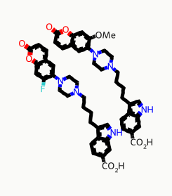 COc1cc2oc(=O)ccc2cc1N1CCN(CCCCc2c[nH]c3cc(C(=O)O)ccc23)CC1.O=C(O)c1ccc2c(CCCCN3CCN(c4cc5ccc(=O)oc5cc4F)CC3)c[nH]c2c1